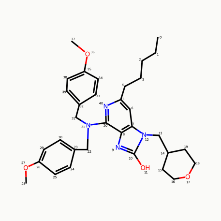 CCCCCc1cc2c(nc(O)n2CC2CCOCC2)c(N(Cc2ccc(OC)cc2)Cc2ccc(OC)cc2)n1